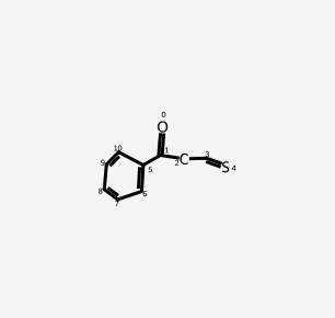 O=C(CC=S)c1ccccc1